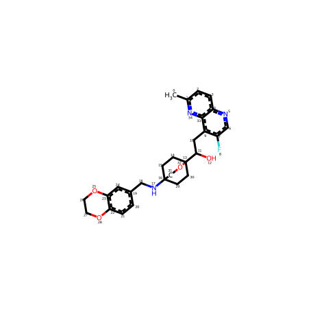 Cc1ccc2ncc(F)c(CC(O)C34CCC(NCc5ccc6c(c5)OCCO6)(CC3)CO4)c2n1